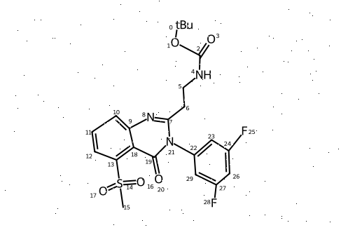 CC(C)(C)OC(=O)NCCc1nc2cccc(S(C)(=O)=O)c2c(=O)n1-c1cc(F)cc(F)c1